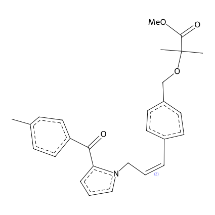 COC(=O)C(C)(C)OCc1ccc(/C=C\Cn2cccc2C(=O)c2ccc(C)cc2)cc1